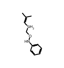 CC(C)=C[SiH2]CONc1ccccc1